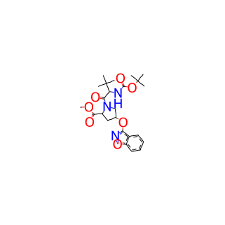 COC(=O)C1CC(Oc2noc3ccccc23)CN1C(=O)C(NC(=O)OC(C)(C)C)C(C)(C)C